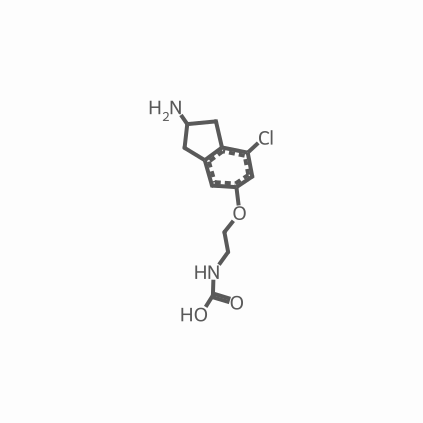 NC1Cc2cc(OCCNC(=O)O)cc(Cl)c2C1